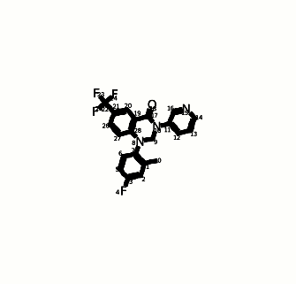 Cc1cc(F)ccc1N1CN(c2cccnc2)C(=O)c2cc(C(F)(F)F)ccc21